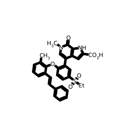 CCS(=O)(=O)c1ccc(Oc2c(C)cccc2C=Cc2ccccc2)c(-c2cn(C)c(=O)c3[nH]c(C(=O)O)cc23)c1